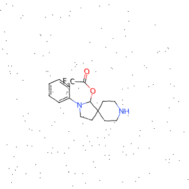 O=C(OC1N(c2ccccc2)CCC12CCNCC2)C(F)(F)F